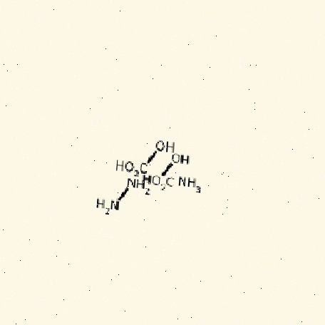 N.NN.O=C(O)O.O=C(O)O